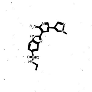 CCNS(=O)(=O)c1ccc2[nH]c(-c3cc(-c4cnn(C)c4)cnc3N)nc2c1